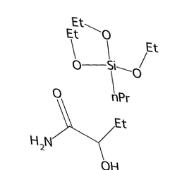 CCC(O)C(N)=O.CCC[Si](OCC)(OCC)OCC